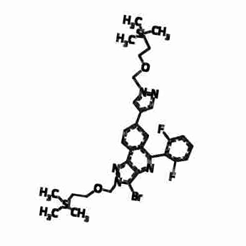 C[Si](C)(C)CCOCn1cc(-c2ccc3c(c2)c(-c2c(F)cccc2F)nc2c(Br)n(COCC[Si](C)(C)C)nc23)cn1